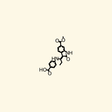 CCC(Nc1ccc(C(=O)O)cc1)=C1C(=O)Nc2cc(C(=O)OC)ccc21